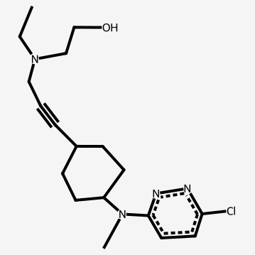 CCN(CC#CC1CCC(N(C)c2ccc(Cl)nn2)CC1)CCO